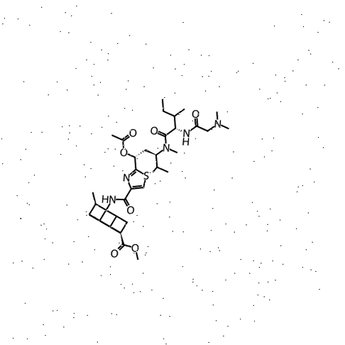 CCC(C)[C@H](NC(=O)CN(C)C)C(=O)N(C)[C@H](C[C@@H](OC(C)=O)c1nc(C(=O)NC23C(C)C4C2C2C3C[C@]42C(=O)OC)cs1)C(C)C